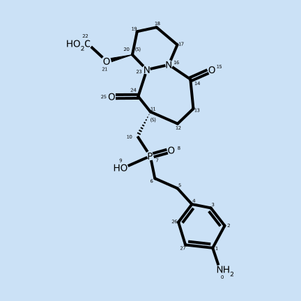 Nc1ccc(CCP(=O)(O)C[C@H]2CCC(=O)N3CCC[C@H](OC(=O)O)N3C2=O)cc1